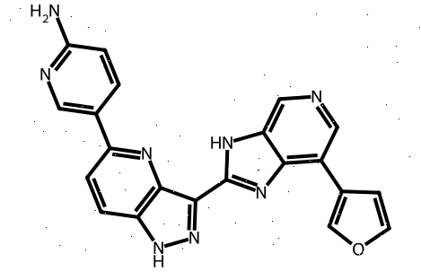 Nc1ccc(-c2ccc3[nH]nc(-c4nc5c(-c6ccoc6)cncc5[nH]4)c3n2)cn1